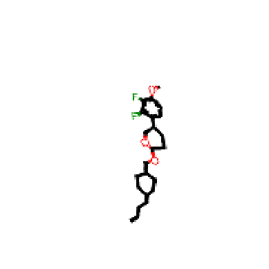 CCCCC1CCC(COC2CCC(c3ccc(OC)c(F)c3F)CO2)CC1